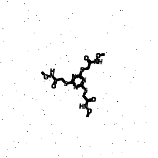 CONC(=O)CSc1nc(SCC(=O)NOC)nc(SCC(=O)NOC)n1